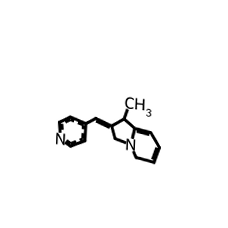 CC1C(=Cc2ccncc2)CN2CC=CC=C12